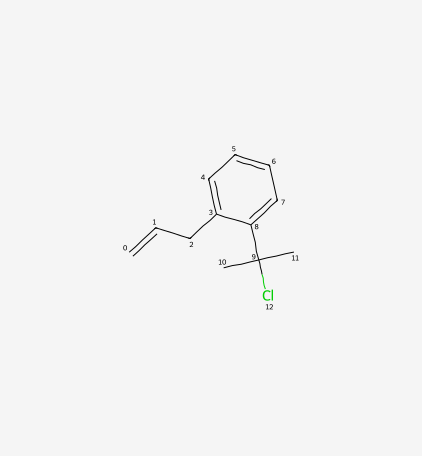 C=CCc1ccccc1C(C)(C)Cl